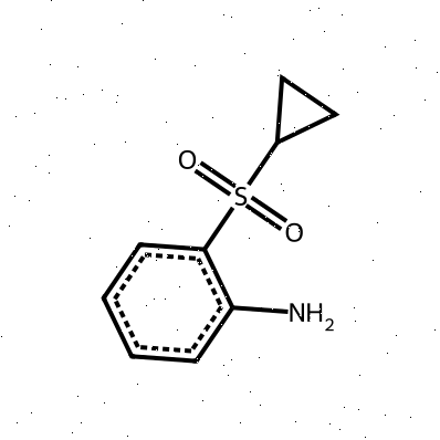 Nc1ccccc1S(=O)(=O)C1CC1